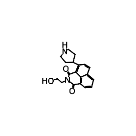 O=C1c2cccc3ccc(C4CCNCC4)c(c23)C(=O)N1CCO